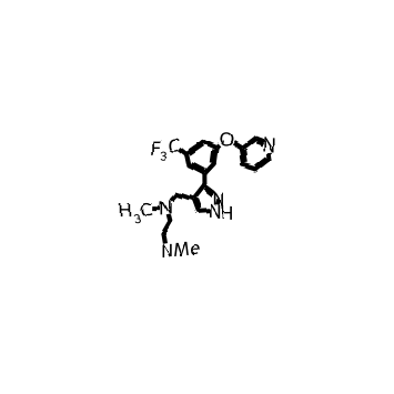 CNCCN(C)Cc1c[nH]nc1-c1cc(Oc2cccnc2)cc(C(F)(F)F)c1